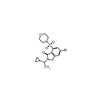 CC(C1CC1)N1Cc2cc(Br)cc(S(=O)(=O)N3CCOCC3)c2C1=O